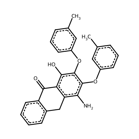 Cc1cccc(Oc2c(N)c3c(c(O)c2Oc2cccc(C)c2)C(=O)c2ccccc2C3)c1